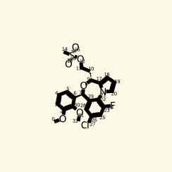 COc1cccc([C@H]2O[C@H](CCOS(C)(=O)=O)c3cccn3-c3c(F)cc(Cl)cc32)c1OC